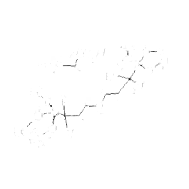 CCO[Si](OCC)(OCC)C(CC)(CC)CCOCCC(CC)(CC)[Si](OCC)(OCC)OCC.O=C(O)CC(=O)O